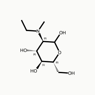 CCN(C)[C@H]1C(O)O[C@H](CO)[C@@H](O)[C@@H]1O